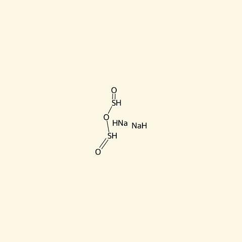 O=[SH]O[SH]=O.[NaH].[NaH]